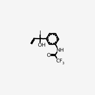 C=CC(O)(I)c1cccc(NC(=O)C(F)(F)F)c1